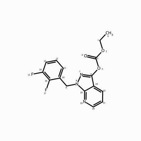 CCOC(=O)Oc1nn(Cc2cccc(F)c2F)c2ncccc12